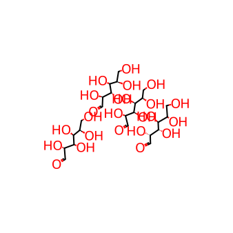 O=C[C@@H](O)[C@@H](O)[C@@H](O)[C@H](O)CO.O=C[C@@H](O)[C@H](O)[C@@H](O)[C@H](O)CO.O=C[C@H](O)[C@@H](O)[C@@H](O)[C@H](O)CO.O=C[C@H](O)[C@H](O)[C@@H](O)[C@H](O)CO